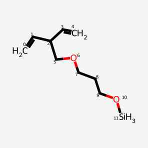 C=CC(C=C)COCCCO[SiH3]